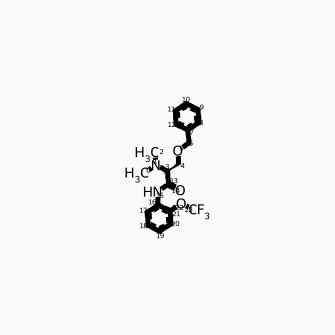 CN(C)[C@@H](COCc1ccccc1)C(=O)Nc1ccccc1OC(F)(F)F